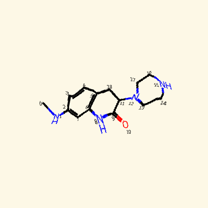 CNc1ccc2c(c1)NC(=O)C(N1CCNCC1)C2